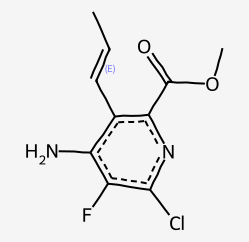 C/C=C/c1c(C(=O)OC)nc(Cl)c(F)c1N